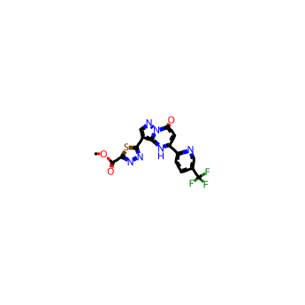 COC(=O)c1nnc(-c2cnn3c(=O)cc(-c4ccc(C(F)(F)F)cn4)[nH]c23)s1